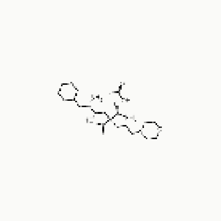 CC(=O)O.CC(C)[C@@](CCCN1CCOCC1)(C[C@H](O)[C@@H](N)CC1CCCCC1)C(N)=O